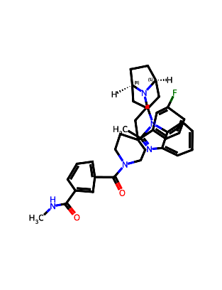 CNC(=O)c1cccc(C(=O)N2CCC(CCN3[C@@H]4CC[C@H]3CC(n3c(C)nc5ccccc53)C4)(c3cccc(F)c3)CC2)c1